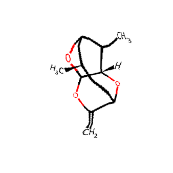 C=C1OC2OC3C(C)[C@@H]2OC1[C@H]3C